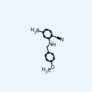 Bc1ccc(C#N)c(NCc2ccc(OC)cc2)c1